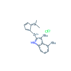 C[Si](C)=C1C=CC=[C]1[Zr+2][c]1[nH]c2cccc(C(C)(C)C)c2c1C(C)(C)C.[Cl-].[Cl-]